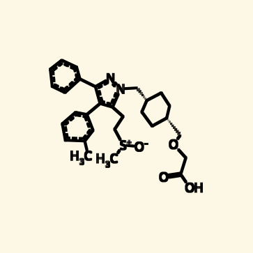 Cc1cccc(-c2c(-c3ccccc3)nn(C[C@H]3CC[C@@H](COCC(=O)O)CC3)c2CC[S+](C)[O-])c1